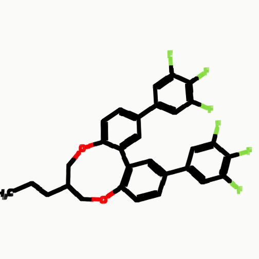 CCCC1COc2ccc(-c3cc(F)c(F)c(F)c3)cc2-c2cc(-c3cc(F)c(F)c(F)c3)ccc2OC1